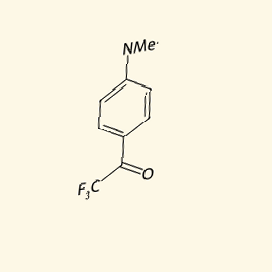 C[N]c1ccc(C(=O)C(F)(F)F)cc1